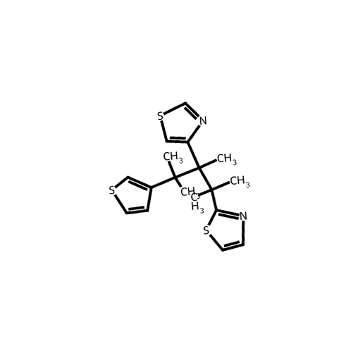 CC(C)(c1ccsc1)C(C)(c1cscn1)C(C)(C)c1nccs1